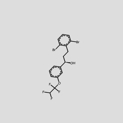 O[C@H](CCc1c(Br)cccc1Br)c1cccc(OC(F)(F)C(F)F)c1